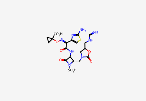 N=CNCC1CN(C[C@H]2C(NC(=O)/C(=N\OC3(C(=O)O)CC3)c3csc(N)n3)C(=O)N2S(=O)(=O)O)C(=O)O1